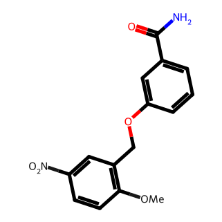 COc1ccc([N+](=O)[O-])cc1COc1cccc(C(N)=O)c1